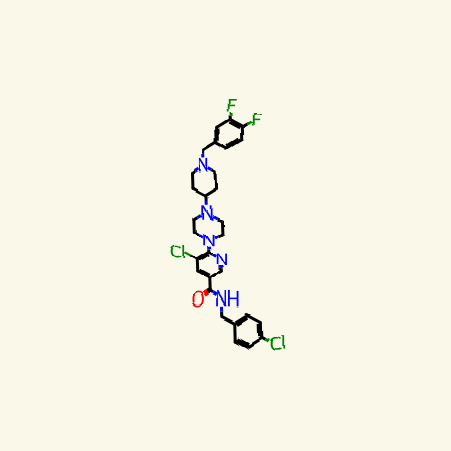 O=C(NCc1ccc(Cl)cc1)c1cnc(N2CCN(C3CCN(Cc4ccc(F)c(F)c4)CC3)CC2)c(Cl)c1